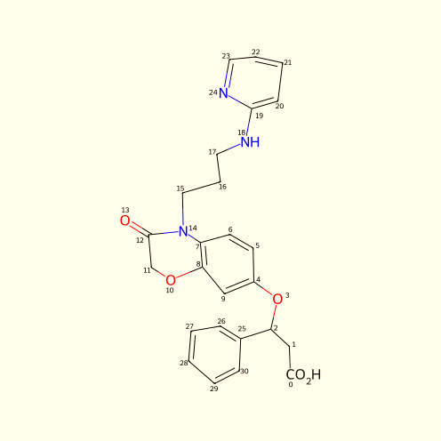 O=C(O)CC(Oc1ccc2c(c1)OCC(=O)N2CCCNc1ccccn1)c1ccccc1